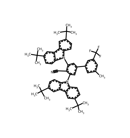 Cc1cc(-c2cc(-n3c4ccc(C(C)(C)C)cc4c4cc(C(C)(C)C)ccc43)c(C#N)c(-n3c4ccc(C(C)(C)C)cc4c4cc(C(C)(C)C)ccc43)c2)cc(C(F)(F)F)c1